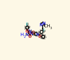 Cc1nccnc1C#C[C@@]1(F)CC[C@@H](C(=O)N2CCC(O)(Cn3cnc(Oc4ccc(F)cc4)c(N)c3=O)CC2)[C@H](c2ccccc2)C1